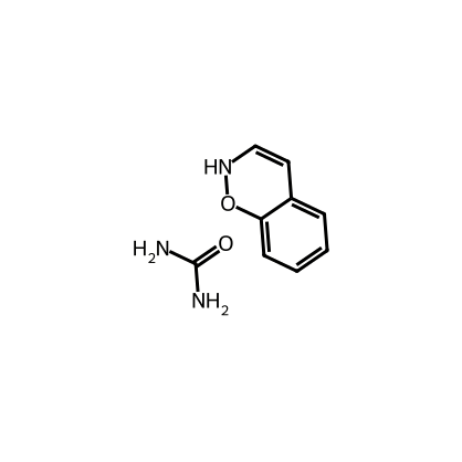 C1=Cc2ccccc2ON1.NC(N)=O